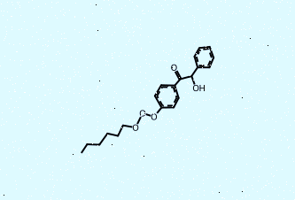 CCCCCCOOOc1ccc(C(=O)C(O)c2ccccc2)cc1